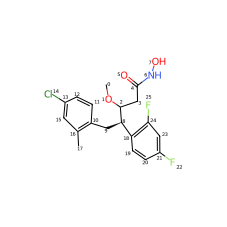 COC(CC(=O)NO)[C@H](Cc1ccc(Cl)cc1C)c1ccc(F)cc1F